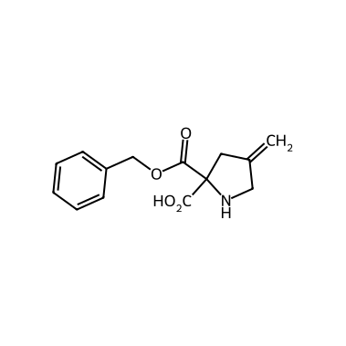 C=C1CNC(C(=O)O)(C(=O)OCc2ccccc2)C1